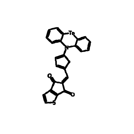 O=C1/C(=C\C2=CC=C(N3c4ccccc4[Te]c4ccccc43)C2)C(=O)c2sccc21